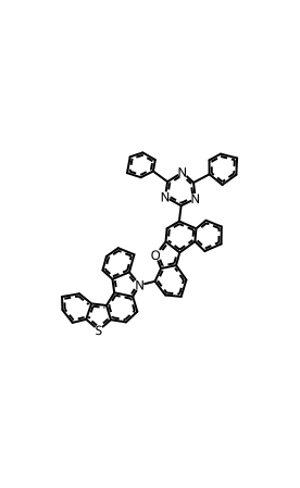 c1ccc(-c2nc(-c3ccccc3)nc(-c3cc4oc5c(-n6c7ccccc7c7c8c(ccc76)sc6ccccc68)cccc5c4c4ccccc34)n2)cc1